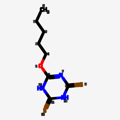 CCCCCOc1nc(=S)[nH]c(=S)[nH]1